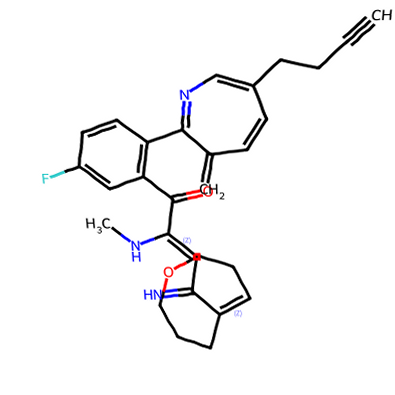 C#CCCC1=CN=C(c2ccc(F)cc2C(=O)/C(=C/C(=N)/C2=C\CCOCCC2)NC)C(=C)C=C1